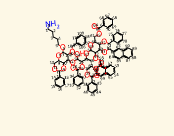 NCCCCCOC1OC2COC(c3ccccc3)OC2C(OC(O)C(OC(=O)c2ccccc2)C(C[C@@H](COC(=O)c2ccccc2)OC(=O)c2ccccc2)OC2OC(COC(=O)c3ccccc3)C(OCc3ccccc3)C(OCc3ccc4ccccc4c3)C2OCc2ccccc2)C1OCc1ccccc1